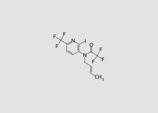 C/C=C/CN(C(=O)C(F)(F)F)c1ccc(C(F)(F)F)nc1I